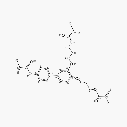 C=C(C)C(=O)OCCCOc1ccc(-c2ccc(OC(=O)C(=C)C)cc2)cc1OCCCOC(=O)C(=C)C